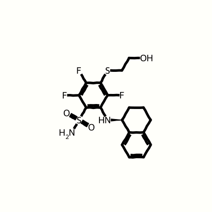 NS(=O)(=O)c1c(F)c(F)c(SCCO)c(F)c1N[C@H]1CCCc2ccccc21